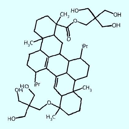 CC(C)C1CCC2C3=C1C1=CC4C(C)(OCC(CO)(CO)CO)CCCC4(C)C4CCC(C(C)C)C(C3CC3C(C)(C(=O)OCC(CO)(CO)CO)CCCC23C)C14